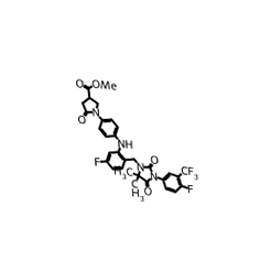 COC(=O)C1CC(=O)N(c2ccc(Nc3cc(F)ccc3CN3C(=O)N(c4ccc(F)c(C(F)(F)F)c4)C(=O)C3(C)C)cc2)C1